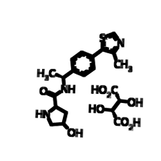 Cc1ncsc1-c1ccc([C@H](C)NC(=O)C2CC(O)CN2)cc1.O=C(O)[C@@H](O)[C@H](O)C(=O)O